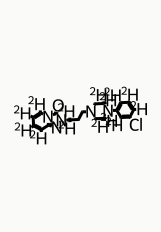 [2H]c1c([2H])c(Cl)c([2H])c(N2C([2H])([2H])CN(CCC([2H])([2H])n3nc4c([2H])c([2H])c([2H])c([2H])n4c3=O)CC2([2H])[2H])c1[2H]